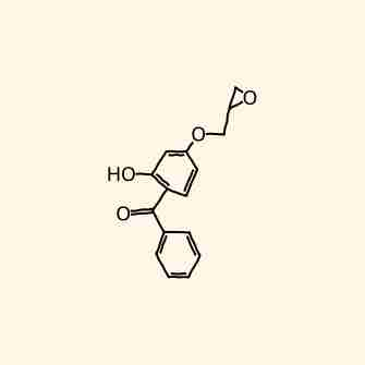 O=C(c1ccccc1)c1ccc(OCC2CO2)cc1O